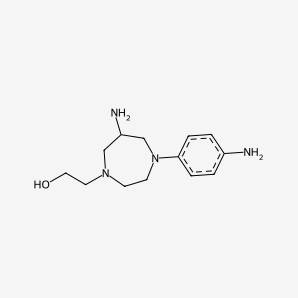 Nc1ccc(N2CCN(CCO)CC(N)C2)cc1